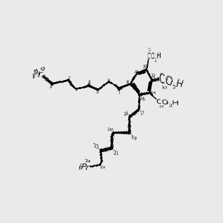 CC(C)CCCCCCCc1cc(C(=O)O)c(C(=O)O)c(C(=O)O)c1CCCCCCCC(C)C